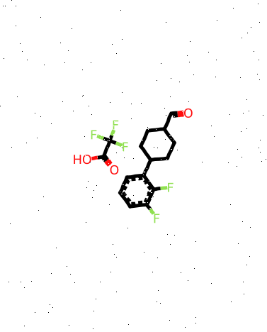 O=C(O)C(F)(F)F.O=CC1CCC(c2cccc(F)c2F)CC1